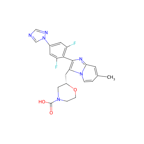 Cc1ccn2c(C[C@H]3CN(C(=O)O)CCO3)c(-c3c(F)cc(-n4cncn4)cc3F)nc2c1